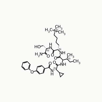 CC[C@H](C)C(NC(=O)[C@@H](NC(=O)c1ccc(Oc2ccccc2)cc1)C1CC1)C(=O)N[C@@H](CCCC[N+](C)(C)C)C(=O)N[C@@H](CO)C(N)=O